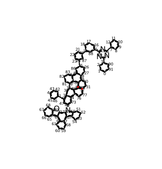 c1ccc(-c2nc(-c3ccccc3)nc(-c3cccc(-c4cccc(-c5ccc6c7ccccc7c7c(-c8cc9c(-c%10ccccc%10)cc(-n%10c%11ccccc%11c%11c%12ccccc%12c%12c%13ccccc%13oc%12c%11%10)cc9c9ccccc89)cccc7c6c5)c4)c3)n2)cc1